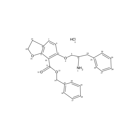 Cl.NC(COc1ccc2c(c1C(=O)OCc1ccccc1)OCC2)Cc1ccccc1